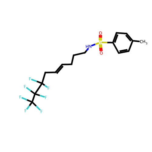 Cc1ccc(S(=O)(=O)NCCC/C=C/CC(F)(F)C(F)(F)C(F)(F)F)cc1